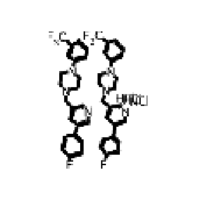 Cl.Cl.Cl.Fc1ccc(-c2cncc(CN3CCN(c4cccc(C(F)(F)F)c4)CC3)c2)cc1.Fc1ccc(-c2cncc(CN3CCN(c4cccc(C(F)(F)F)c4)CC3)c2)cc1